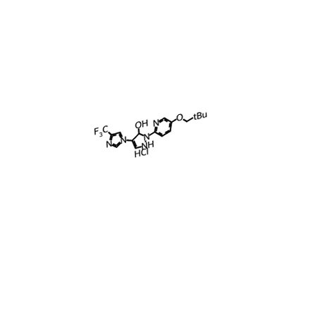 CC(C)(C)COc1ccc(N2NC=C(n3cnc(C(F)(F)F)c3)C2O)nc1.Cl